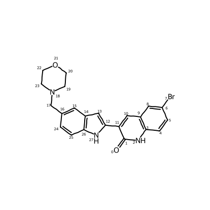 O=c1[nH]c2ccc(Br)cc2cc1-c1cc2cc(CN3CCOCC3)ccc2[nH]1